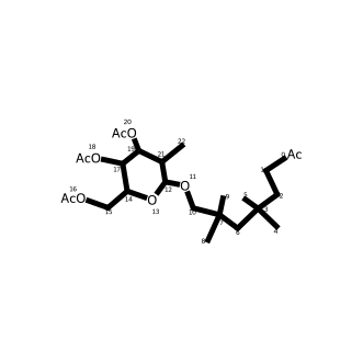 CC(=O)CCC(C)(C)CC(C)(C)COC1OC(COC(C)=O)C(OC(C)=O)C(OC(C)=O)C1C